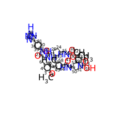 COc1ccc(C[C@H](NC(=O)[C@H]2CC[C@H](CNC(=O)OC(C)(C)C)CC2)C(=O)Nc2ccc(-c3nn[nH]n3)cc2)cc1-c1ccc(C(=O)NC2CCN(C(=O)O)CC2)cc1C